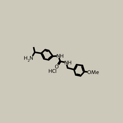 COc1ccc(CNC(=O)Nc2ccc(C(C)N)cc2)cc1.Cl